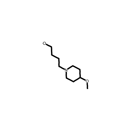 COC1CCN(CCCC[O])CC1